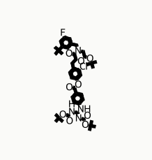 CC(C)(C)OC(=O)CN(Cc1cc(F)cc(C(C)(C)C)c1)C(=O)CCc1ccc(OC(=O)c2ccc(N/C(=N\C(=O)OC(C)(C)C)NC(=O)OC(C)(C)C)cc2)cc1Cl